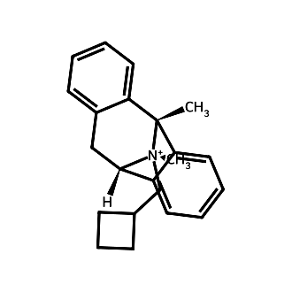 C[C@@]12c3ccccc3C[C@@H](c3ccccc31)[N@@+]2(C)CC1CCC1